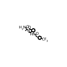 CC(C(N)=O)n1ccc2c(NC(=O)Cc3ccc(C(F)(F)F)cc3)cccc2c1=O